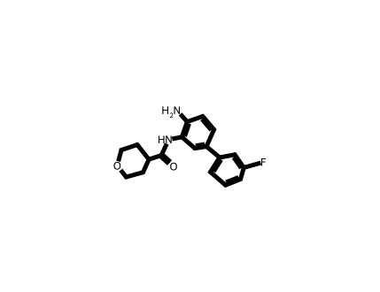 Nc1ccc(-c2cccc(F)c2)cc1NC(=O)C1CCOCC1